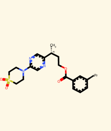 CC(C)c1cccc(C(=O)OCC[C@@H](C)c2cnc(N3CCS(=O)(=O)CC3)cn2)c1